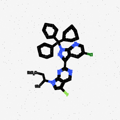 CCOC(=O)CC(n1cc(F)c2cnc(-c3nn(C(c4ccccc4)(c4ccccc4)c4ccccc4)c4ncc(Cl)cc34)nc21)C(C)(C)C